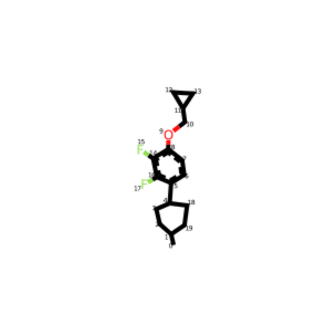 CC1CCC(c2ccc(OCC3CC3)c(F)c2F)CC1